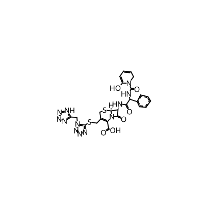 O=C(O)C1=C(CSc2nnnn2Cc2nnn[nH]2)CS[C@H]2[C@H](NC(=O)C(NC(=O)N3CC=CC=C3O)c3ccccc3)C(=O)N12